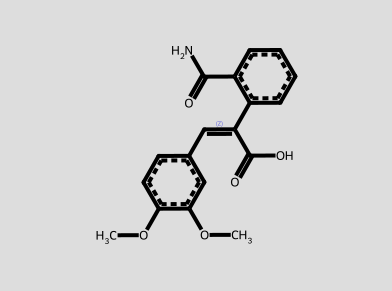 COc1ccc(/C=C(\C(=O)O)c2ccccc2C(N)=O)cc1OC